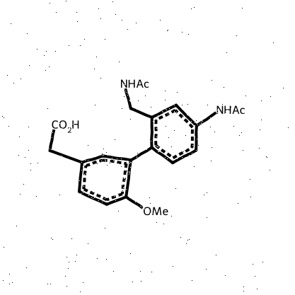 COc1ccc(CC(=O)O)cc1-c1ccc(NC(C)=O)cc1CNC(C)=O